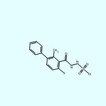 CCS(=O)(=O)NNC(=O)c1c(F)ccc(-c2ccccc2)c1C